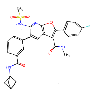 CNC(=O)c1c(-c2ccc(F)cc2)oc2nc(NS(C)(=O)=O)c(-c3cccc(C(=O)NC45CC(C4)C5)c3)cc12